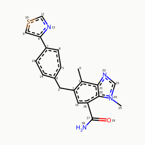 Cc1c(Cc2ccc(-c3cscn3)cc2)cc(C(N)=O)c2c1ncn2C